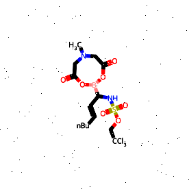 CCCC/C=C/C(NS(=O)(=O)OCC(Cl)(Cl)Cl)B1OC(=O)CN(C)CC(=O)O1